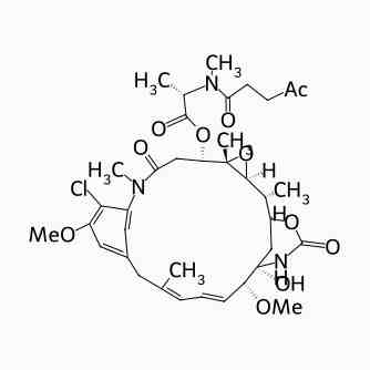 COc1cc2cc(c1Cl)N(C)C(=O)C[C@H](OC(=O)[C@H](C)N(C)C(=O)CCC(C)=O)[C@]1(C)O[C@H]1[C@H](C)[C@@H]1C[C@@](O)(NC(=O)O1)[C@H](OC)/C=C/C=C(\C)C2